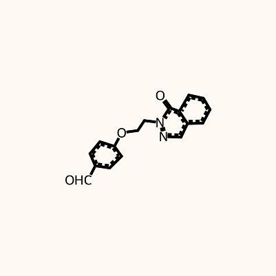 O=Cc1ccc(OCCn2ncc3ccccc3c2=O)cc1